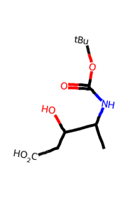 CC(NC(=O)OC(C)(C)C)C(O)CC(=O)O